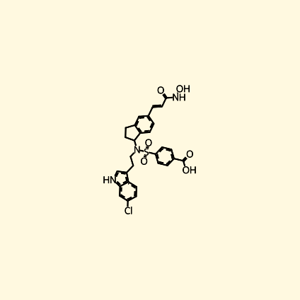 O=C(C=Cc1ccc2c(c1)CCC2N(CCc1c[nH]c2cc(Cl)ccc12)S(=O)(=O)c1ccc(C(=O)O)cc1)NO